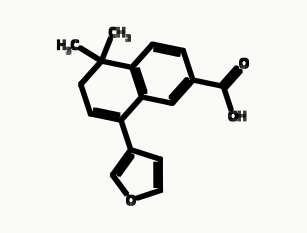 CC1(C)CC=C(c2ccoc2)c2cc(C(=O)O)ccc21